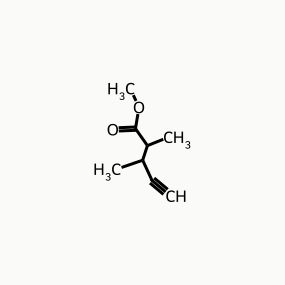 C#CC(C)C(C)C(=O)OC